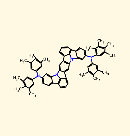 Cc1cc(N(c2cc(C)c(C)c(C)c2)c2ccc3c4cccc5c6cc7c(cc6n(c3c2)c45)c2cccc3c4ccc(N(c5cc(C)c(C)c(C)c5)c5cc(C)c(C)c(C)c5C)cc4n7c32)cc(C)c1C